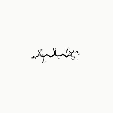 CCCN(CCC)[C@@H](CCC(=O)OCC[Si](C)(C)C)C(C)=O